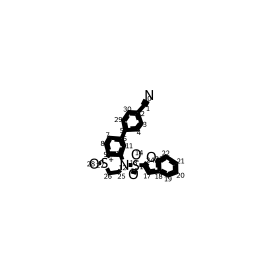 N#Cc1ccc(-c2ccc3c(c2)N(S(=O)(=O)c2cc4ccccc4o2)CC[S+]3[O-])cc1